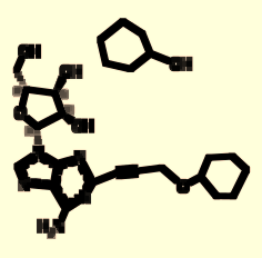 Nc1nc(C#CCOC2CCCCC2)nc2c1ncn2[C@@H]1O[C@H](CO)[C@@H](O)[C@H]1O.OC1CCCCC1